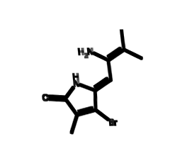 CC(C)=C(N)/C=C1\NC(=O)C(C)=C1Br